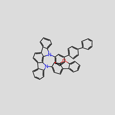 c1ccc(-c2ccc(-c3cccc(-n4c5ccccc5c5ccc6c7ccccc7n(-c7ccc8c(c7)oc7ccccc78)c6c54)c3)cc2)cc1